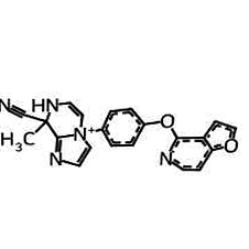 CC1(C#N)NC=C[N+]2(c3ccc(Oc4nccc5occc45)cc3)C=CN=C12